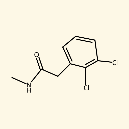 CNC(=O)Cc1cccc(Cl)c1Cl